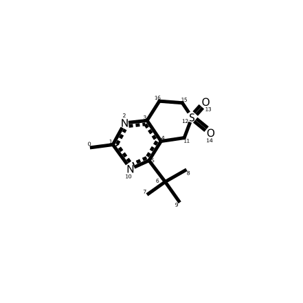 Cc1nc2c(c(C(C)(C)C)n1)CS(=O)(=O)CC2